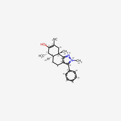 [C-]#[N+]C1=C(O)[C@@H](C)[C@@H]2CCc3c(nn(C)c3-c3ccccc3)[C@@]2(C)C1